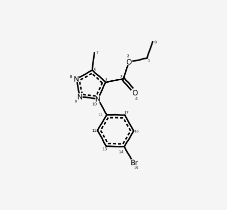 CCOC(=O)c1c(C)nnn1-c1ccc(Br)cc1